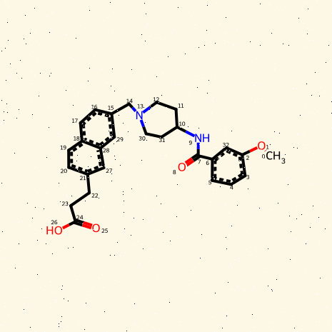 COc1cccc(C(=O)NC2CCN(Cc3ccc4ccc(CCC(=O)O)cc4c3)CC2)c1